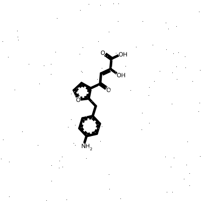 Nc1ccc(Cc2occc2C(=O)C=C(O)C(=O)O)cc1